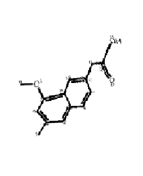 COc1cc(C)cc2ccc(CC(=O)O)cc12